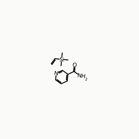 C=C[Si](C)(C)C.NC(=O)c1cccnc1